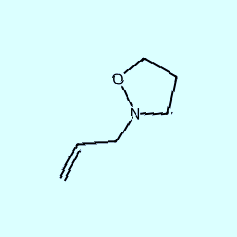 C=CCN1[CH]CCO1